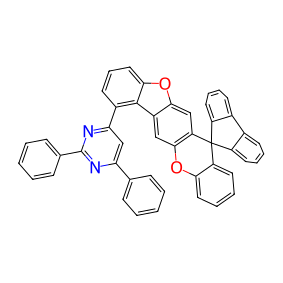 c1ccc(-c2cc(-c3cccc4oc5cc6c(cc5c34)Oc3ccccc3C63c4ccccc4-c4ccccc43)nc(-c3ccccc3)n2)cc1